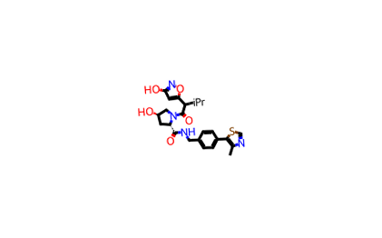 Cc1ncsc1-c1ccc(CNC(=O)[C@@H]2C[C@@H](O)CN2C(=O)C(c2cc(O)no2)C(C)C)cc1